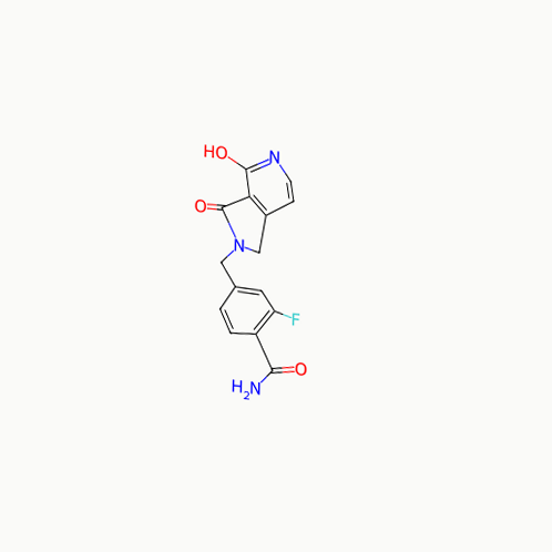 NC(=O)c1ccc(CN2Cc3ccnc(O)c3C2=O)cc1F